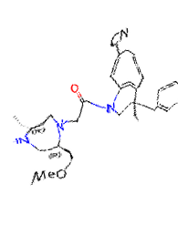 COC[C@H]1CN[C@H](C)CN1CC(=O)N1CC(C)(c2ccccc2)c2ccc(C#N)cc21